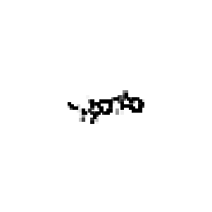 CCOC(=O)N1C(=O)c2ccc(CN3C(=O)c4ccccc4C3=O)cc2C1=O